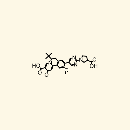 COc1cc2c(cc1-c1cnc(N3CCC(C(=O)O)C3)nc1)CC(C(C)(C)C)n1cc(C(=O)O)c(=O)cc1-2